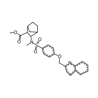 COC(=O)C1C2CCC(C2)C1N(C)S(=O)(=O)c1ccc(OCc2ccc3ccccc3n2)cc1